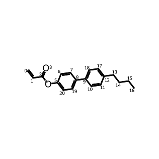 C=CC(=O)Oc1ccc(-c2ccc(CCCC)cc2)cc1